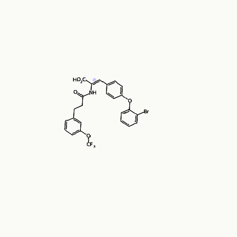 O=C(CCc1cccc(OC(F)(F)F)c1)N/C(=C\c1ccc(Oc2ccccc2Br)cc1)C(=O)O